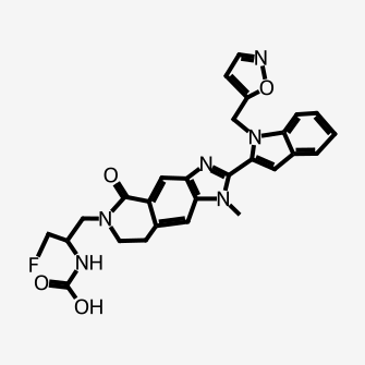 Cn1c(-c2cc3ccccc3n2Cc2ccno2)nc2cc3c(cc21)CCN(CC(CF)NC(=O)O)C3=O